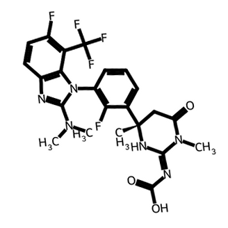 CN1C(=O)C[C@@](C)(c2cccc(-n3c(N(C)C)nc4ccc(F)c(C(F)(F)F)c43)c2F)N/C1=N\C(=O)O